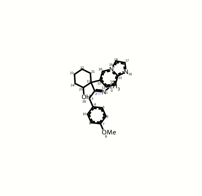 C/N=C(/Cc1ccc(OC)cc1)C1(c2ccc3nccn3c2)CCCCC1O